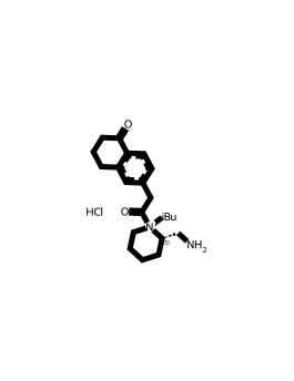 CCC(C)[N+]1(C(=O)Cc2ccc3c(c2)CCCC3=O)CCCC[C@H]1CN.Cl